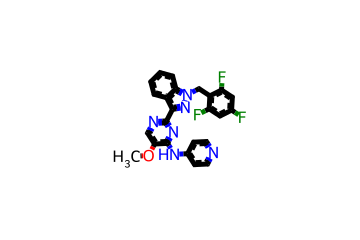 COc1cnc(-c2nn(Cc3c(F)cc(F)cc3F)c3ccccc23)nc1Nc1ccncc1